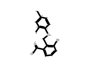 CCc1cccc(C(=O)Cl)c1COc1ccc(C)cc1C